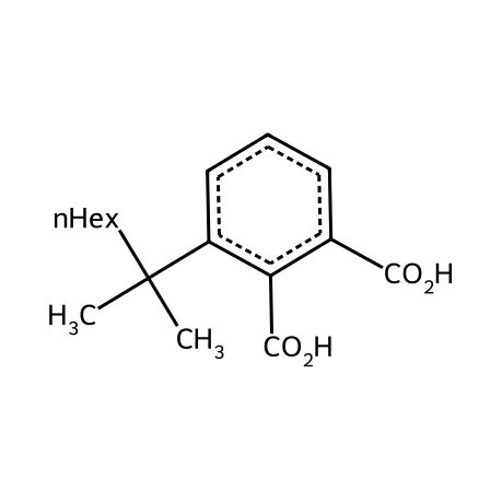 CCCCCCC(C)(C)c1cccc(C(=O)O)c1C(=O)O